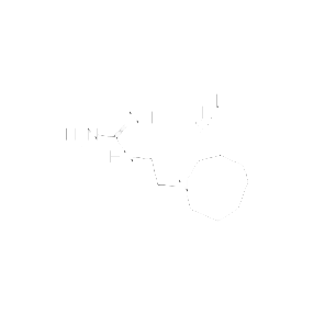 N=C(N)NCCN1CCCCCCC1.[H+].[H+].[S-2]